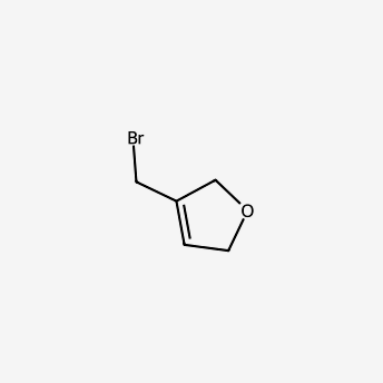 BrCC1=CCOC1